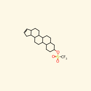 O=S(=O)(OC1CCC2C(CCC3C2CCC2C4CC=CC4CCC23)C1)C(F)(F)F